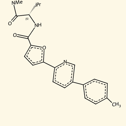 CNC(=O)[C@@H](NC(=O)c1ccc(-c2ccc(-c3ccc(C)cc3)cn2)o1)C(C)C